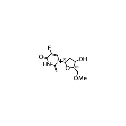 C=C1NC(=O)C(F)=CN1[C@H]1CC(O)[C@@H](COC)O1